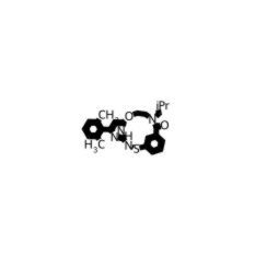 Cc1cccc(C)c1-c1cc2nc(n1)NSc1cccc(c1)C(=O)N(CC(C)C)CCO2